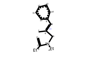 C=C(CC)N(CC)C/C(C)=C/c1ccccc1